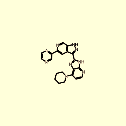 c1cnc(-c2cc3c(-c4nc5c(N6CCCCC6)ccnc5[nH]4)n[nH]c3cn2)cn1